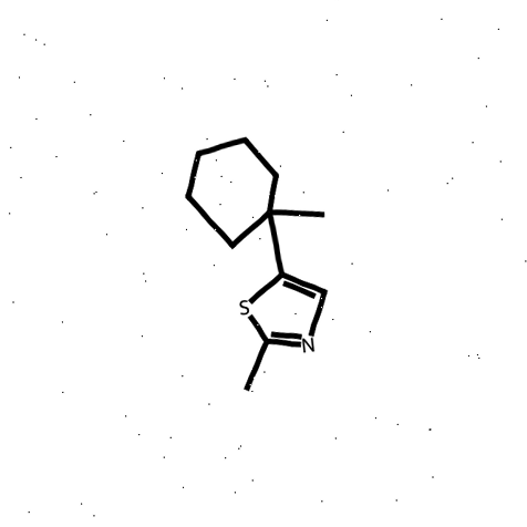 Cc1ncc(C2(C)CCCCC2)s1